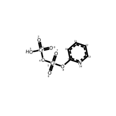 [O]=[Cr](=[O])([OH])[O][Cr](=[O])(=[O])[O]c1ccccn1